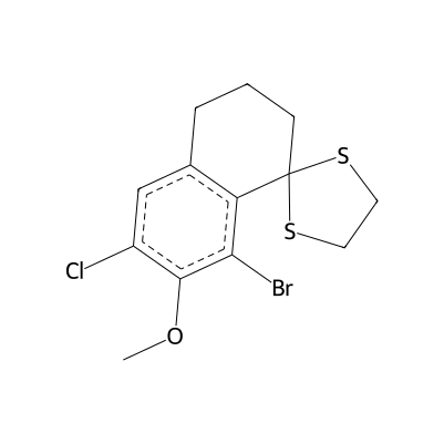 COc1c(Cl)cc2c(c1Br)C1(CCC2)SCCS1